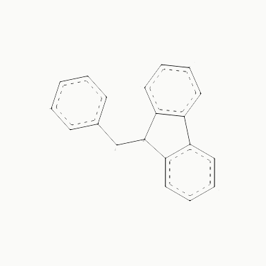 [c]1ccc(CC2c3ccccc3-c3ccccc32)cc1